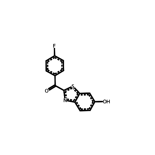 O=C(c1ccc(F)cc1)c1nc2ccc(O)cc2s1